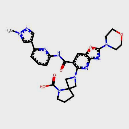 Cn1cc(-c2cccc(NC(=O)c3cc4oc(N5CCOCC5)nc4nc3N3CC4(CCCN4C(=O)O)C3)n2)cn1